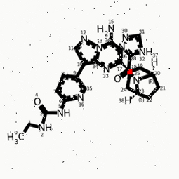 CCNC(=O)Nc1ccc(-c2cnn3c(N)cc([C@H]4C[C@H]5CC[C@@H](C4)N5C(=O)c4nnc[nH]4)nc23)cn1